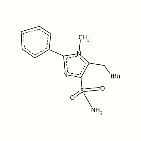 Cn1c(-c2ccccc2)nc(S(N)(=O)=O)c1CC(C)(C)C